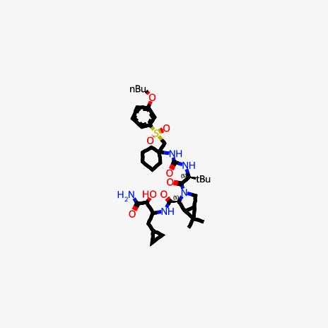 CCCCOc1cccc(S(=O)(=O)CC2(NC(=O)N[C@H](C(=O)N3CC4C([C@H]3C(=O)NC(CC3CC3)C(O)C(N)=O)C4(C)C)C(C)(C)C)CCCCC2)c1